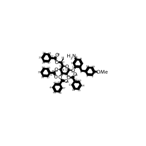 COc1ccc(Cc2ccc(N)cc2O[C@@H]2O[C@H]([C@H](C)OC(=O)c3ccccc3)[C@@H](OC(=O)c3ccccc3)[C@H](OC(=O)c3ccccc3)[C@H]2OC(=O)c2ccccc2)cc1